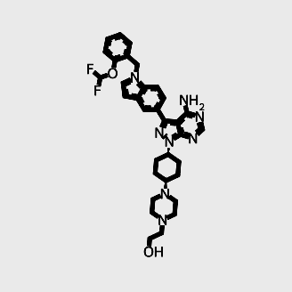 Nc1ncnc2c1c(-c1ccc3c(ccn3Cc3ccccc3OC(F)F)c1)nn2[C@H]1CC[C@H](N2CCN(CCO)CC2)CC1